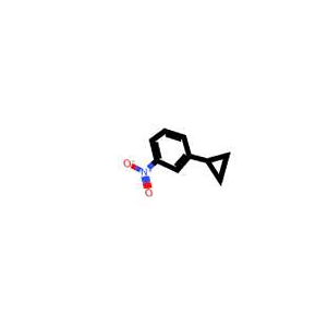 O=[N+]([O-])c1cccc([C]2CC2)c1